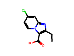 CCc1nc2cc(Cl)ccn2c1C(=O)O